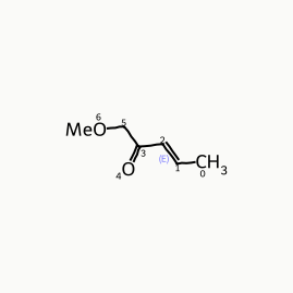 C/C=C/C(=O)COC